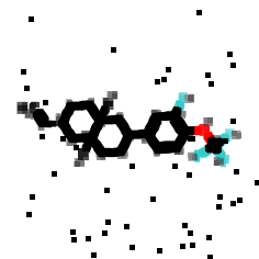 C=C[C@@H]1CC[C@@H]2CC(c3ccc(OC(F)(F)F)c(F)c3)CC[C@@H]2C1